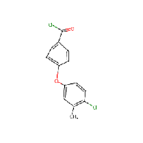 Cc1cc(Oc2ccc(C(=O)Cl)cc2)ccc1Cl